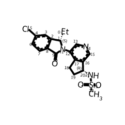 CC[C@H]1c2cc(Cl)ccc2C(=O)N1c1cncc2c1CC[C@H]2NS(C)(=O)=O